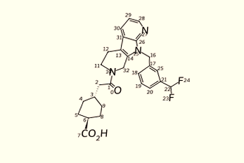 O=C(C[C@H]1CC[C@H](C(=O)O)CC1)N1CCc2c(n(Cc3cccc(C(F)F)c3)c3ncccc23)C1